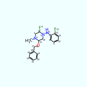 CN1CC(F)[N+](Nc2ccccc2F)CC1OCc1ccccc1